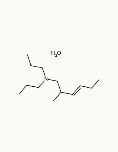 CCC=CC(C)CN(CCC)CCC.O